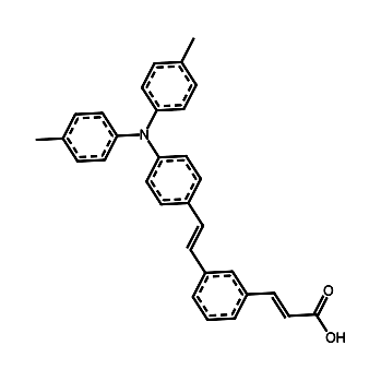 Cc1ccc(N(c2ccc(C)cc2)c2ccc(C=Cc3cccc(C=CC(=O)O)c3)cc2)cc1